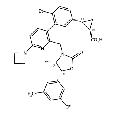 CCc1ccc([C@@H]2C[C@H]2C(=O)O)cc1-c1ccc(N2CCC2)nc1CN1C(=O)O[C@H](c2cc(C(F)(F)F)cc(C(F)(F)F)c2)[C@@H]1C